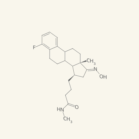 CNC(=O)CCC[C@@H]1C/C(=N\O)[C@@]2(C)CCC3c4cccc(F)c4CCC3C12